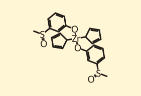 CS(=O)c1cccc([O][Zr]([O]c2cccc(S(C)=O)c2)([CH]2C=CC=C2)[CH]2C=CC=C2)c1